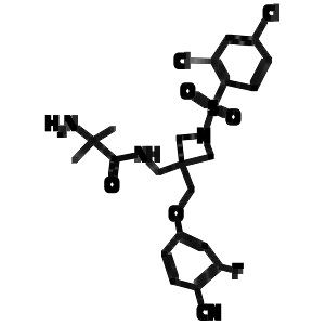 CC(C)(N)C(=O)NCC1(COc2ccc(C#N)c(F)c2)CN(S(=O)(=O)c2ccc(Cl)cc2Cl)C1